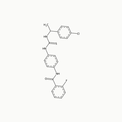 CC(NC(=S)Nc1ccc(NC(=O)c2ccccc2F)cc1)c1ccc(Cl)cc1